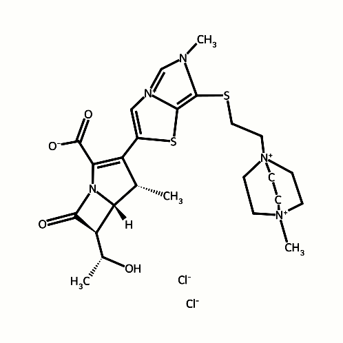 C[C@@H](O)[C@H]1C(=O)N2C(C(=O)[O-])=C(c3c[n+]4cn(C)c(SCC[N+]56CC[N+](C)(CC5)CC6)c4s3)[C@H](C)[C@H]12.[Cl-].[Cl-]